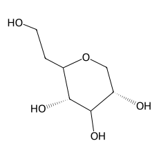 OCCC1OC[C@H](O)C(O)[C@@H]1O